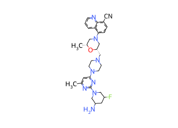 Cc1cc(N2CCN(C[C@H]3CN(c4ccc(C#N)c5ncccc45)C[C@@H](C)O3)CC2)nc(N2CC(N)CC(F)C2)n1